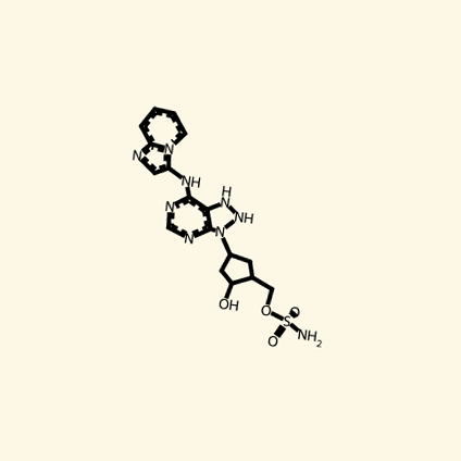 NS(=O)(=O)OCC1CC(N2NNc3c(Nc4cnc5ccccn45)ncnc32)CC1O